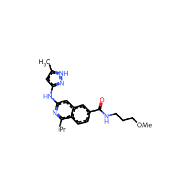 COCCCNC(=O)c1ccc2c(C(C)C)nc(Nc3cc(C)[nH]n3)cc2c1